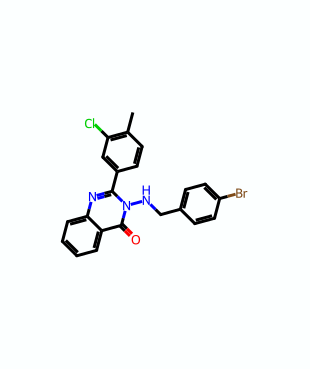 Cc1ccc(-c2nc3ccccc3c(=O)n2NCc2ccc(Br)cc2)cc1Cl